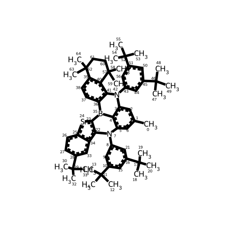 Cc1cc2c3c(c1)N(c1cc(C(C)(C)C)cc(C(C)(C)C)c1)c1c(sc4ccc(C(C)(C)C)cc14)B3c1ccc3c(c1N2c1cc(C(C)(C)C)cc(C(C)(C)C)c1)C(C)(C)CCC3(C)C